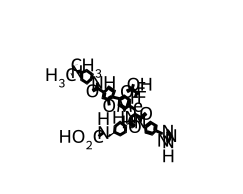 COc1cc(C(=O)NC2CCC(N(C)C)CC2)ccc1-c1ccc(C[C@H](NC(=O)[C@H]2CC[C@H](CNC(=O)O)CC2)C(=O)Nc2ccc(-c3nn[nH]n3)cc2)cc1.O=C(O)C(F)(F)F